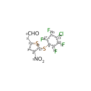 O=CCc1cc([N+](=O)[O-])c(Sc2c(F)c(F)c(Cl)c(F)c2F)s1